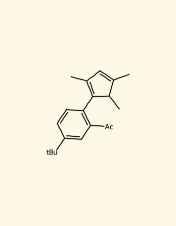 CC(=O)c1cc(C(C)(C)C)ccc1C1=C(C)C=C(C)C1C